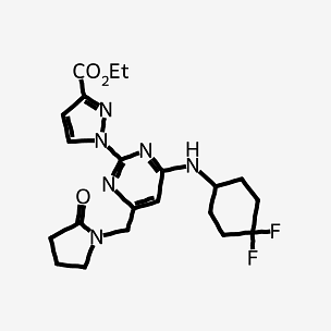 CCOC(=O)c1ccn(-c2nc(CN3CCCC3=O)cc(NC3CCC(F)(F)CC3)n2)n1